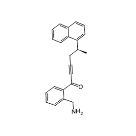 C[C@@H](CC#CC(=O)c1ccccc1CN)c1cccc2ccccc12